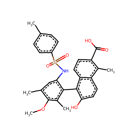 COc1c(C)cc(NS(=O)(=O)c2ccc(C)cc2)c(-c2c(O)ccc3c(C)c(C(=O)O)ccc23)c1C